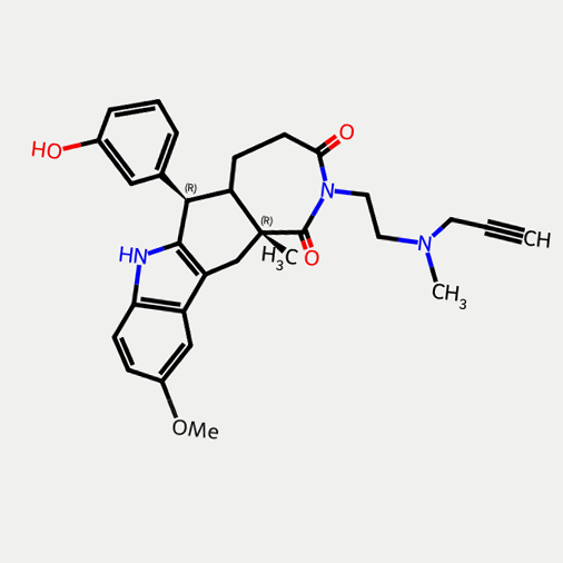 C#CCN(C)CCN1C(=O)CCC2[C@H](c3cccc(O)c3)c3[nH]c4ccc(OC)cc4c3C[C@@]2(C)C1=O